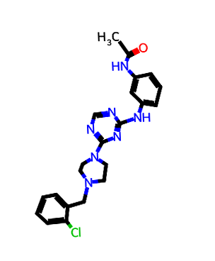 CC(=O)Nc1cccc(Nc2ncnc(N3CCN(Cc4ccccc4Cl)CC3)n2)c1